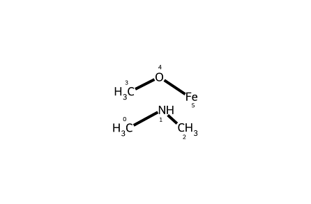 CNC.C[O][Fe]